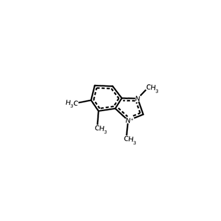 Cc1ccc2c(c1C)[n+](C)cn2C